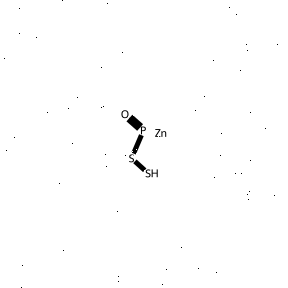 O=PSS.[Zn]